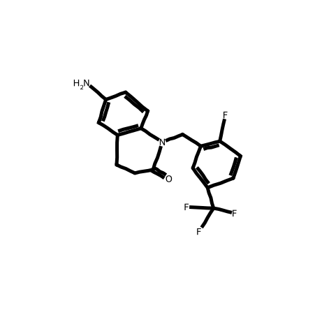 Nc1ccc2c(c1)CCC(=O)N2Cc1cc(C(F)(F)F)ccc1F